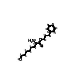 NN(CCCCCC=O)C(=O)OCCCc1ccccc1